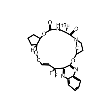 CC(C)(C)[C@@H]1NC(=O)OC2CCC[C@H]2OC/C=C/C(F)(F)c2nc3ccccc3nc2OC2CCN(C2)C1=O